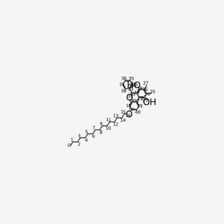 CCCCCCCCCCCCCCCCOc1ccc(-c2c(O)c(C)c(C)c(O)c2C(=O)c2ccccc2)cc1